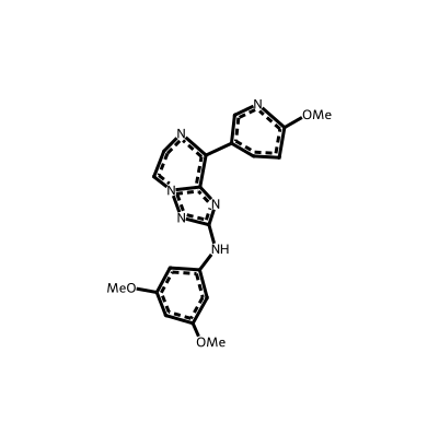 COc1cc(Nc2nc3c(-c4ccc(OC)nc4)nccn3n2)cc(OC)c1